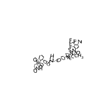 CC1(C)C(=O)N(c2ccc(C#N)c(C(F)(F)F)c2F)C(=S)N1c1ccc(-c2ccc(OCCNC(=O)COc3cccc4c3C(=O)N(C3CCC(=O)NC3=O)C4=O)cc2)nc1